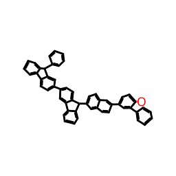 c1ccc(C2c3ccccc3-c3ccc(-c4ccc5c(c4)-c4ccccc4C5c4ccc5cc(-c6ccc7oc8ccccc8c7c6)ccc5c4)cc32)cc1